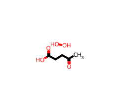 CC(=O)CCC(=O)O.OO